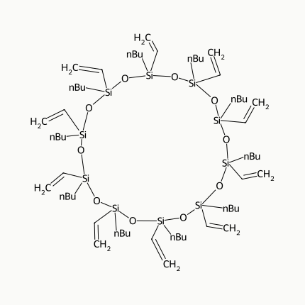 C=C[Si]1(CCCC)O[Si](C=C)(CCCC)O[Si](C=C)(CCCC)O[Si](C=C)(CCCC)O[Si](C=C)(CCCC)O[Si](C=C)(CCCC)O[Si](C=C)(CCCC)O[Si](C=C)(CCCC)O[Si](C=C)(CCCC)O[Si](C=C)(CCCC)O1